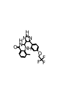 Cc1cccc2c1NC(c1n[nH]nc1-c1ccc(OCC(F)(F)F)cc1)NC2=O